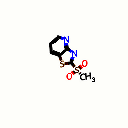 CS(=O)(=O)c1nc2ncccc2s1